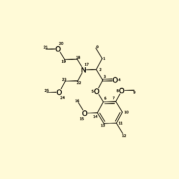 CCC(C(=O)Oc1c(OC)cc(C)cc1OC)N(CCOC)CCOC